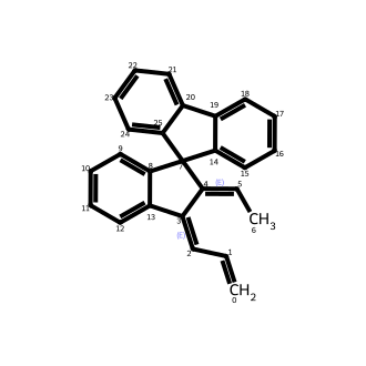 C=C/C=C1\C(=C/C)C2(c3ccccc31)c1ccccc1-c1ccccc12